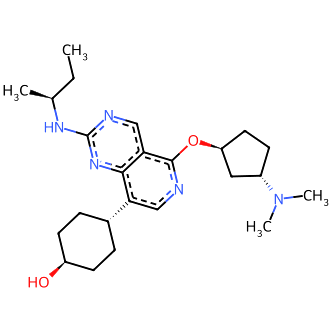 CC[C@H](C)Nc1ncc2c(O[C@H]3CC[C@H](N(C)C)C3)ncc([C@H]3CC[C@H](O)CC3)c2n1